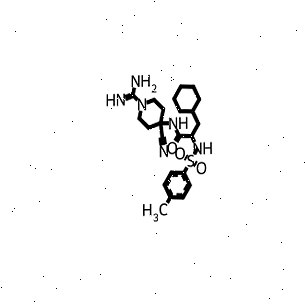 Cc1ccc(S(=O)(=O)NC(CC2CCCCC2)C(=O)NC2(C#N)CCN(C(=N)N)CC2)cc1